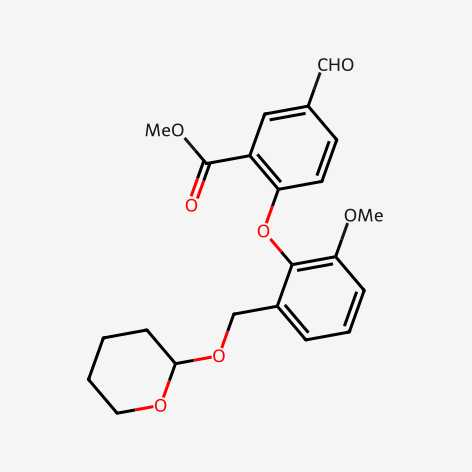 COC(=O)c1cc(C=O)ccc1Oc1c(COC2CCCCO2)cccc1OC